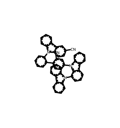 N#Cc1ccc2c(c1)c1ccccc1n2-c1ccccc1-c1ccc(-n2c3ccccc3c3cccc(-n4c5ccccc5c5ccccc54)c32)cc1C#N